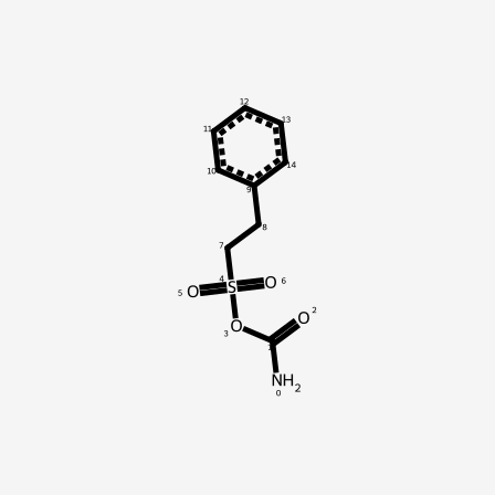 NC(=O)OS(=O)(=O)CCc1ccccc1